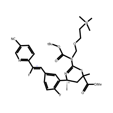 COC(=O)C1(C)C[C@@](C)(c2cc(/C=C(\F)c3ccc(C#N)cn3)ccc2F)N=C(N(COCC[Si](C)(C)C)C(=O)OC(C)(C)C)S1